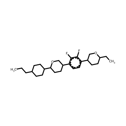 CCCC1CCC(C2CCC(c3ccc(C4CCC(CC)OC4)c(F)c3F)CO2)CC1